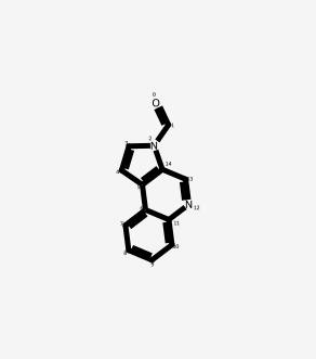 O=Cn1ccc2c3ccccc3ncc21